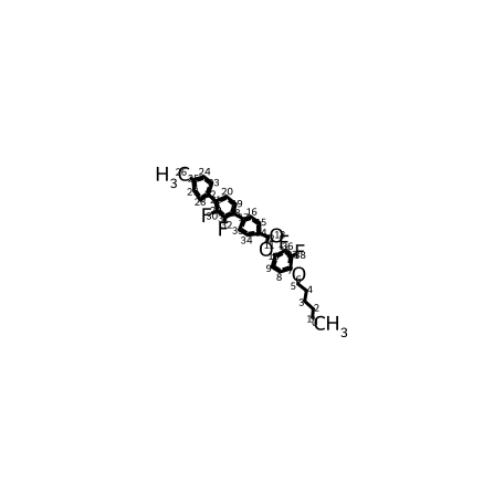 CCCCCCOc1ccc(OC(=O)c2ccc(-c3ccc(-c4ccc(C)cc4)c(F)c3F)cc2)c(F)c1F